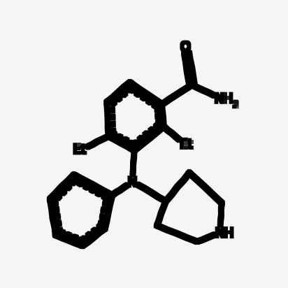 CCc1ccc(C(N)=O)c(CC)c1N(c1ccccc1)C1CCNCC1